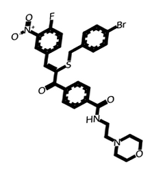 O=C(NCCN1CCOCC1)c1ccc(C(=O)C(=Cc2ccc(F)c([N+](=O)[O-])c2)SCc2ccc(Br)cc2)cc1